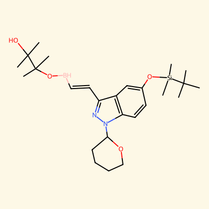 CC(C)(O)C(C)(C)OB/C=C/c1nn(C2CCCCO2)c2ccc(O[Si](C)(C)C(C)(C)C)cc12